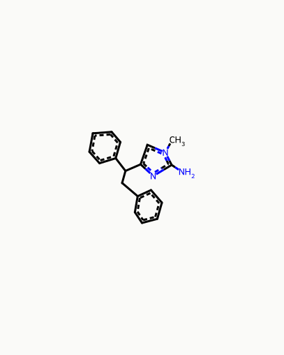 Cn1cc(C(Cc2ccccc2)c2ccccc2)nc1N